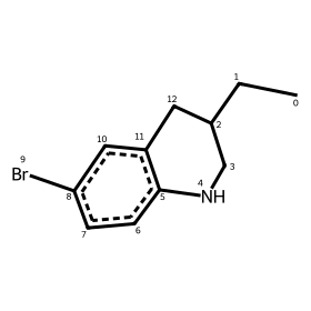 CCC1CNc2ccc(Br)cc2C1